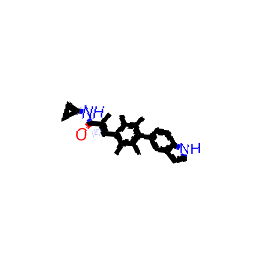 C/C(=C\c1c(C)c(C)c(-c2ccc3[nH]ccc3c2)c(C)c1C)C(=O)NC1CC1